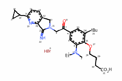 Br.CCN(C)c1cc(C(=O)CN2Cc3ccc(C4CC4)nc3C2=N)cc(C(C)(C)C)c1OCCCC(=O)O